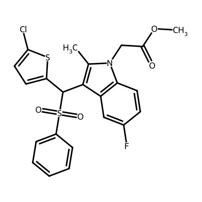 COC(=O)Cn1c(C)c(C(c2ccc(Cl)s2)S(=O)(=O)c2ccccc2)c2cc(F)ccc21